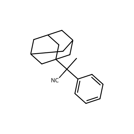 CC(C#N)(c1ccccc1)C12CC3CC(CC(C3)C1)C2